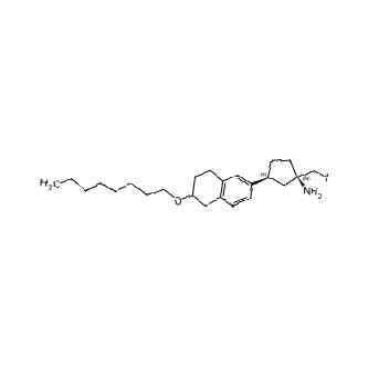 CCCCCCCCOC1CCc2cc([C@H]3CC[C@](N)(CI)C3)ccc2C1